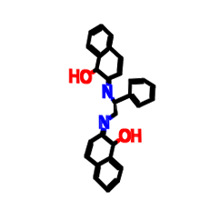 OC1C(=NC[C@@H](N=C2C=Cc3ccccc3C2O)c2ccccc2)C=Cc2ccccc21